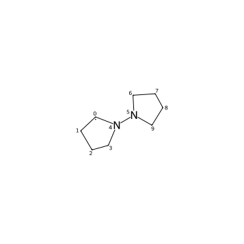 [CH]1CCCN1N1CCCC1